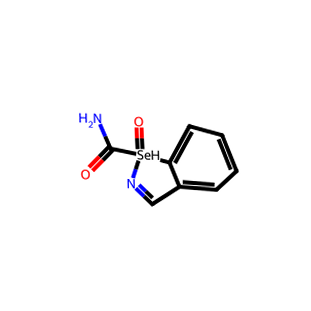 NC(=O)[SeH]1(=O)N=Cc2ccccc21